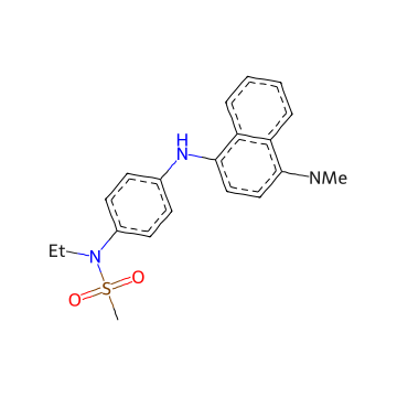 CCN(c1ccc(Nc2ccc(NC)c3ccccc23)cc1)S(C)(=O)=O